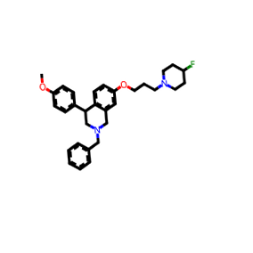 COc1ccc(C2CN(Cc3ccccc3)Cc3cc(OCCCN4CCC(F)CC4)ccc32)cc1